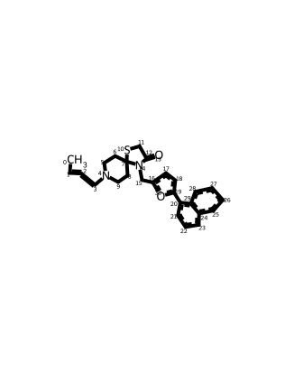 CC=C=CN1CCC2(CC1)SCC(=O)N2Cc1ccc(-c2cccc3ccccc23)o1